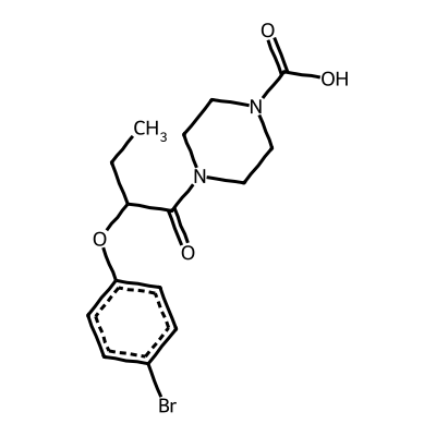 CCC(Oc1ccc(Br)cc1)C(=O)N1CCN(C(=O)O)CC1